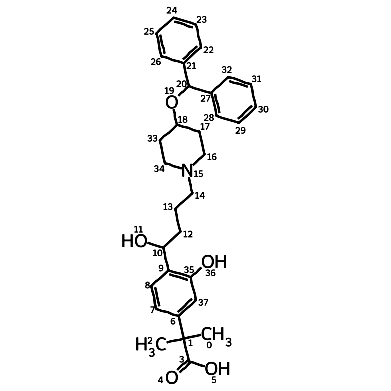 CC(C)(C(=O)O)c1ccc(C(O)CCCN2CCC(OC(c3ccccc3)c3ccccc3)CC2)c(O)c1